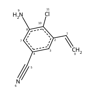 C=Cc1cc(C#N)cc(N)c1Cl